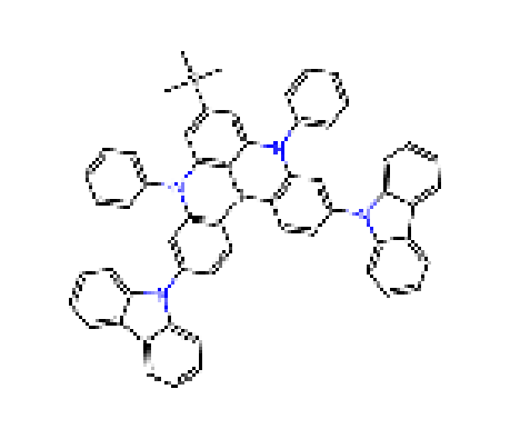 C[Si](C)(C)c1cc2c3c(c1)N(c1ccccc1)c1cc(-n4c5ccccc5c5ccccc54)ccc1B3c1ccc(-n3c4ccccc4c4ccccc43)cc1N2c1ccccc1